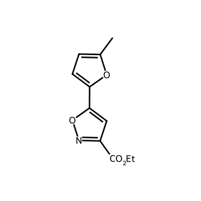 CCOC(=O)c1cc(-c2ccc(C)o2)on1